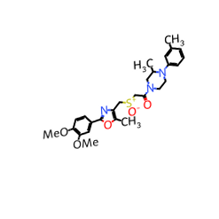 COc1ccc(-c2nc(C[S+]([O-])CC(=O)N3CCN(c4cccc(C)c4)C(C)C3)c(C)o2)cc1OC